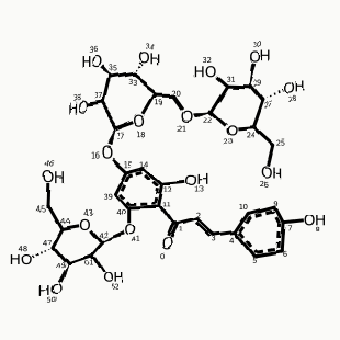 O=C(/C=C/c1ccc(O)cc1)c1c(O)cc(O[C@@H]2OC(CO[C@@H]3OC(CO)[C@@H](O)[C@H](O)C3O)[C@@H](O)[C@H](O)C2O)cc1O[C@@H]1OC(CO)[C@@H](O)[C@H](O)C1O